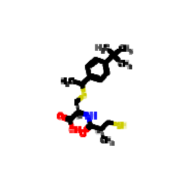 CC(SC[C@H](NC(=O)[C@@H](C)CS)C(=O)O)c1ccc(C(C)(C)C)cc1